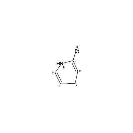 CCC1=CCC=CN1